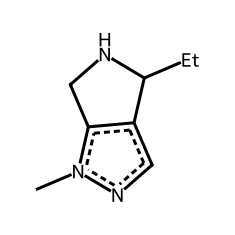 CCC1NCc2c1cnn2C